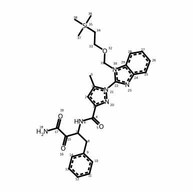 Cc1cc(C(=O)NC(Cc2ccccc2)C(=O)C(N)=O)nn1-c1nc2ccccc2n1COCC[Si](C)(C)C